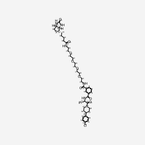 CC(C)C(NC(=O)c1cccc(C(=O)NCCOCCOCCOCCOCCNC(=O)CCCC[C@@H]2SC[C@@H]3NC(=O)N[C@@H]32)c1)C(=O)N1CCC(c2ccc(Cl)cc2)CC1